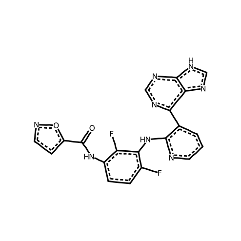 O=C(Nc1ccc(F)c(Nc2ncccc2-c2ncnc3[nH]cnc23)c1F)c1ccno1